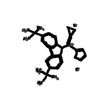 C[Si](C)(C)c1ccc2c(c1)-c1cc([Si](C)(C)C)ccc1[CH]2[Zr+2]([C]1=CC=CC1)=[C]1CC1.[Cl-].[Cl-]